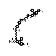 CC1=CC2=Nc3ccc(N)cc3N(c3ccccc3)C2C=C1NCCCCCCNC(=O)c1ccc(-c2ccc(C(=O)NCCCCCCNc3cc4c(cc3C)nc3ccc(N)cc3[n+]4-c3ccccc3)cc2)cc1